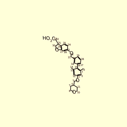 Cc1cc(OCC2CCOCC2)cc(C)c1-c1cccc(COc2ccc3c(c2)OCC3CC(=O)O)c1